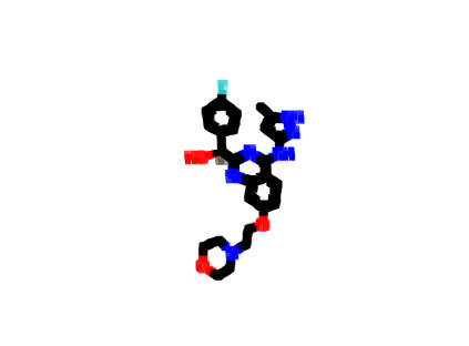 Cc1cc(Nc2nc([C@@H](O)c3ccc(F)cc3)nc3cc(OCCN4CCOCC4)ccc23)n[nH]1